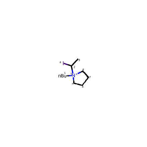 CCCC[N+]1(C(C)I)CCCC1